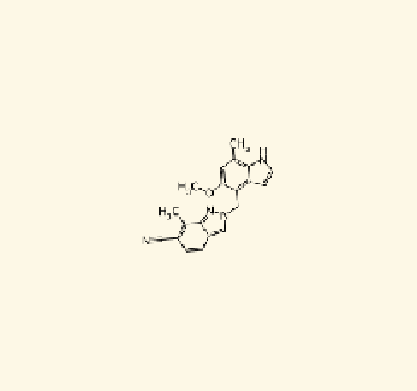 COc1cc(C)c2[nH]ccc2c1Cn1cc2ccc(C#N)c(C)c2n1